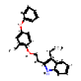 CCCc1cc(Oc2ccccc2)ccc1OCCc1[nH]c2ccccc2c1CC(=O)OCC